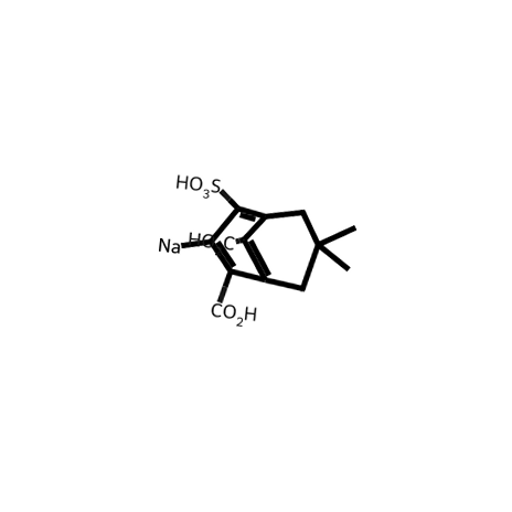 CC1(C)Cc2c(C(=O)O)[c]([Na])c(S(=O)(=O)O)c(c2C(=O)O)C1